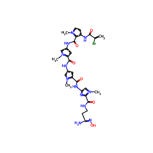 C=C(Br)C(=O)Nc1ccn(C)c1C(=O)Nc1cc(C(=O)Nc2cc(C(=O)Nc3cn(C)c(C(=O)NCCC(N)=NO)n3)n(C)c2)n(C)c1